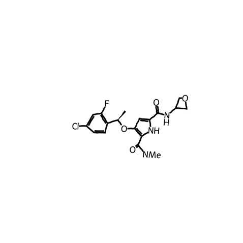 CNC(=O)c1[nH]c(C(=O)NC2COC2)cc1O[C@H](C)c1ccc(Cl)cc1F